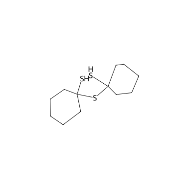 SC1(SC2(S)CCCCC2)CCCCC1